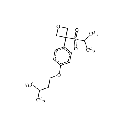 CC(C)CCOc1ccc(C2(S(=O)(=O)C(C)C)COC2)cc1